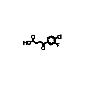 O=C(O)CCC(=O)c1ccc(Cl)c(F)c1